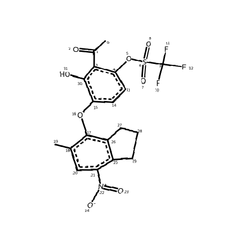 CC(=O)c1c(OS(=O)(=O)C(F)(F)F)ccc(Oc2c(C)cc([N+](=O)[O-])c3c2CCC3)c1O